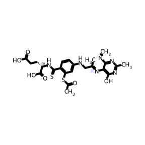 C=Nc1nc(C)nc(O)c1/N=C(\C)CNc1ccc(C(=S)N[C@@H](CCC(=O)O)C(=O)O)c(SC(C)=O)c1